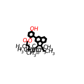 CCC(C)(C)C1c2cccc3cc(-c4cc(O)ccc4OC(=O)C(C)CC(C)(C)C)cc(c23)C1C(C)(C)C